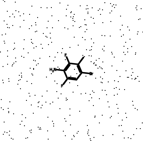 Cc1c(Br)cc(F)c(N)c1F